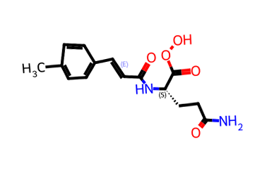 Cc1ccc(/C=C/C(=O)N[C@@H](CCC(N)=O)C(=O)OO)cc1